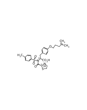 Cc1ccc(S(=O)(=O)N(C(=O)[C@H]2NCCS2)[C@@H](Cc2ccc(OCCCN(C)C)cc2)C(=O)O)cc1